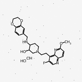 COc1ccc2ncc(F)c(CCN3CCC(NCc4ccc5c(c4)OCCO5)C(O)C3)c2n1.Cl.Cl